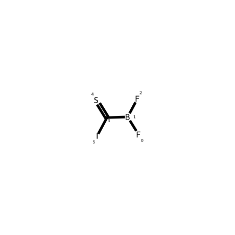 FB(F)C(=S)I